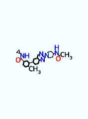 CC(=O)NC1CCN(c2ncc3cc(-c4cc(C(=O)NC5CC5)ccc4C)ccc3n2)CC1